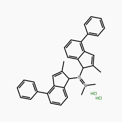 CC1=Cc2c(-c3ccccc3)cccc2[CH]1[Ti]([CH]1C(C)=Cc2c(-c3ccccc3)cccc21)=[Si](C)C.Cl.Cl